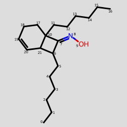 CCCCCCC1C(=NO)C2(CCCCCC)CCC=CC12